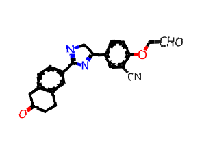 N#Cc1cc(C2=NC(c3ccc4c(c3)CCC(=O)C4)=NC2)ccc1OCC=O